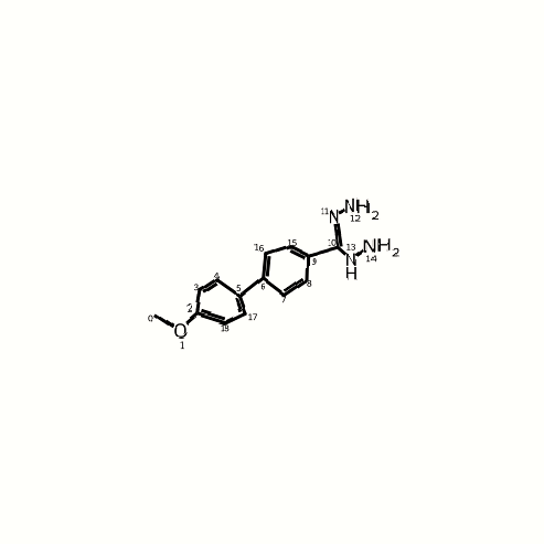 COc1ccc(-c2ccc(/C(=N/N)NN)cc2)cc1